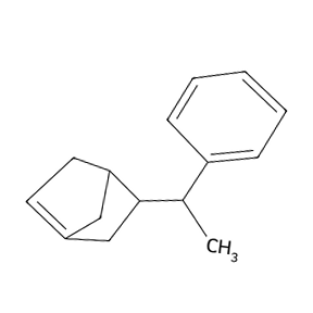 CC(c1ccccc1)C1CC2=CCC1C2